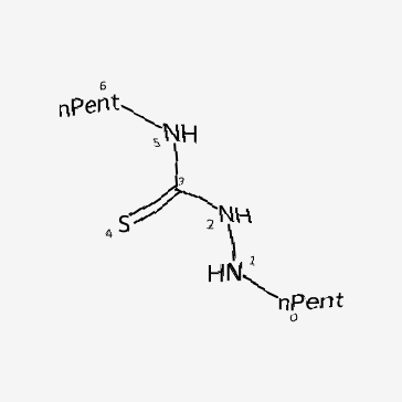 CCCCCNNC(=S)NCCCCC